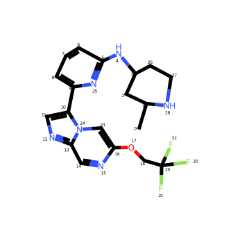 CC1CC(Nc2cccc(-c3cnc4cnc(OCC(F)(F)F)cn34)n2)CCN1